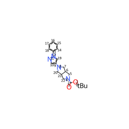 CC(C)(C)OC(=O)N1CC2CN(c3cnn(-c4ccccc4)c3)CC2C1